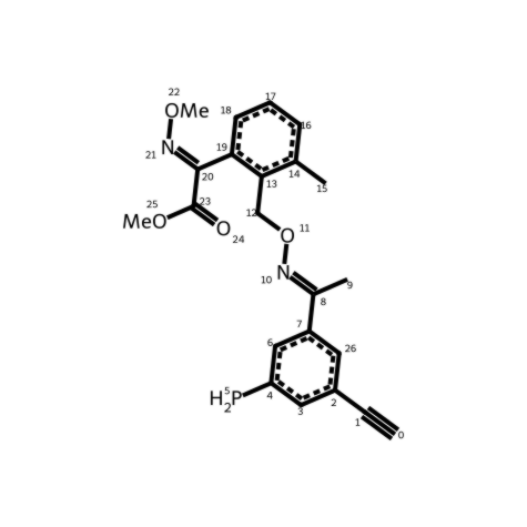 C#Cc1cc(P)cc(/C(C)=N/OCc2c(C)cccc2/C(=N\OC)C(=O)OC)c1